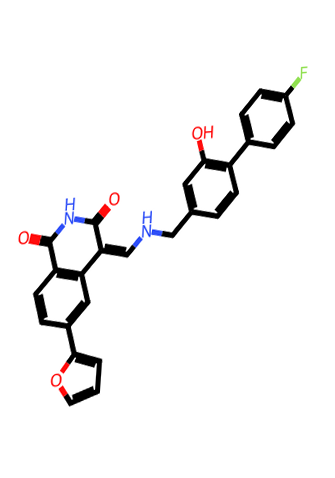 O=C1NC(=O)c2ccc(-c3ccco3)cc2C1=CNCc1ccc(-c2ccc(F)cc2)c(O)c1